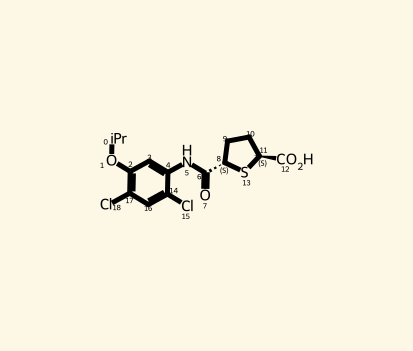 CC(C)Oc1cc(NC(=O)[C@@H]2CC[C@@H](C(=O)O)S2)c(Cl)cc1Cl